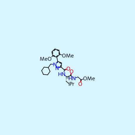 COC(=O)CNC(=O)[C@H](CC(C)C)NC(=O)c1cc(-c2c(OC)cccc2OC)n(CC2CCCCC2)n1